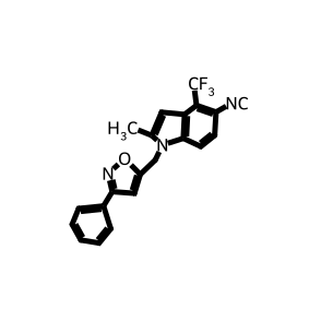 [C-]#[N+]c1ccc2c(cc(C)n2Cc2cc(-c3ccccc3)no2)c1C(F)(F)F